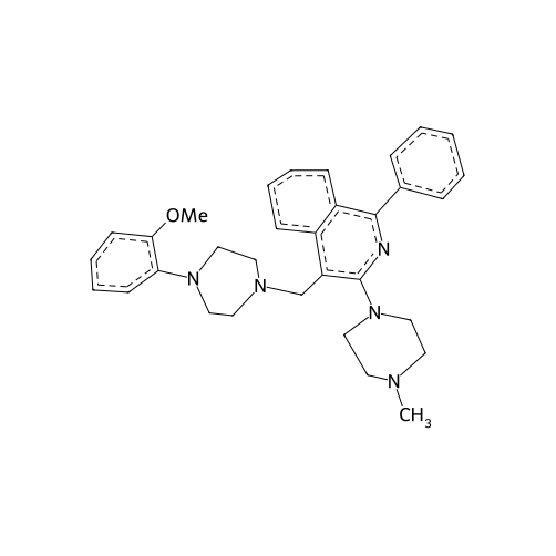 COc1ccccc1N1CCN(Cc2c(N3CCN(C)CC3)nc(-c3ccccc3)c3ccccc23)CC1